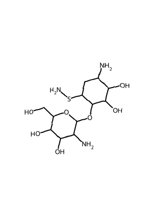 NSC1CC(N)C(O)C(O)C1OC1OC(CO)C(O)C(O)C1N